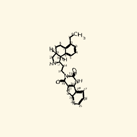 CCc1cccc2c1CC[C@H]1CNC(CCn3c(=O)[nH]c4c(sc5ncccc54)c3=O)[C@@H]21